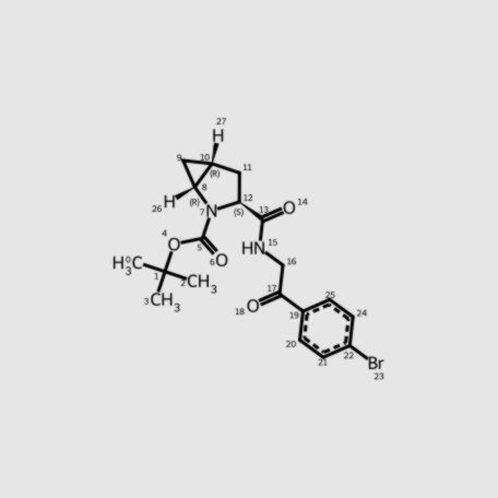 CC(C)(C)OC(=O)N1[C@@H]2C[C@@H]2C[C@H]1C(=O)NCC(=O)c1ccc(Br)cc1